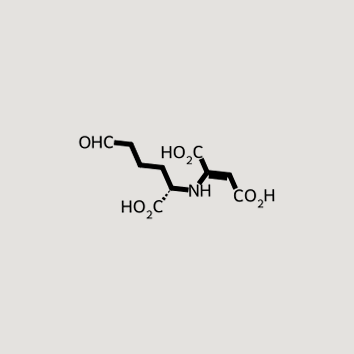 O=CCCC[C@H](N/C(=C\C(=O)O)C(=O)O)C(=O)O